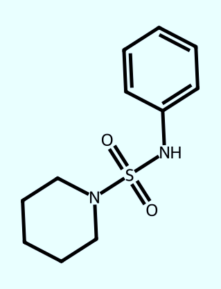 O=S(=O)(Nc1ccccc1)N1CCCCC1